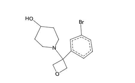 OC1CCN(C2(c3cccc(Br)c3)COC2)CC1